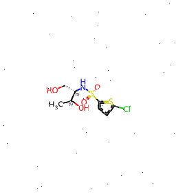 C[C@H](O)[C@H](CO)NS(=O)(=O)c1ccc(Cl)s1